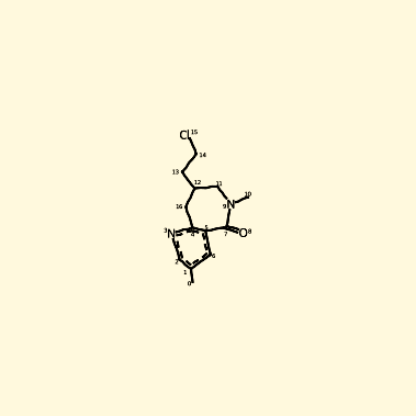 Cc1cnc2c(c1)C(=O)N(C)CC(CCCl)C2